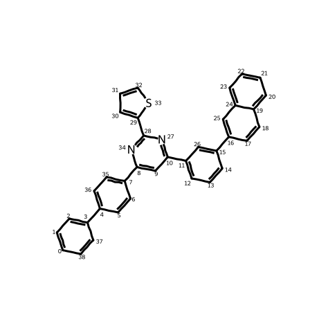 c1ccc(-c2ccc(-c3cc(-c4cccc(-c5ccc6ccccc6c5)c4)nc(-c4cccs4)n3)cc2)cc1